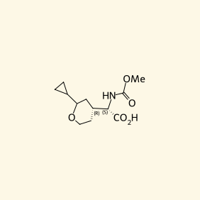 COC(=O)N[C@H](C(=O)O)[C@@H]1CCOC(C2CC2)C1